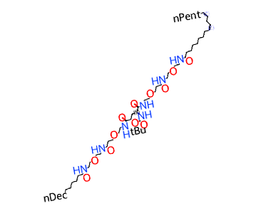 CCCCC/C=C\C/C=C\CCCCCCCC(=O)NCCOCCNC(=O)CCOCCNC(=O)[C@H](CCC(=O)NCCOCCC(=O)NCCOCCNC(=O)CCCCCCCCCCCCCCC)NC(=O)OC(C)(C)C